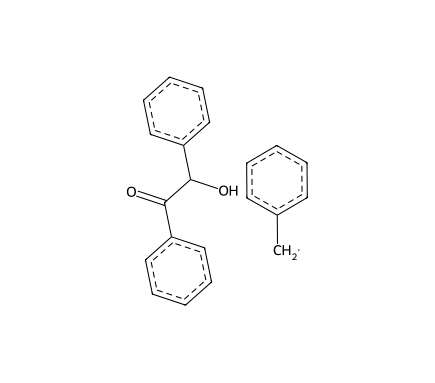 O=C(c1ccccc1)C(O)c1ccccc1.[CH2]c1ccccc1